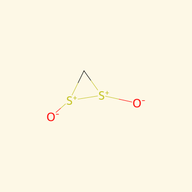 [O-][S+]1C[S+]1[O-]